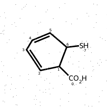 O=C(O)C1C=CC=CC1S